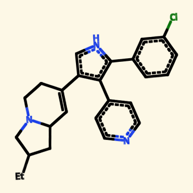 CCC1CC2C=C(c3c[nH]c(-c4cccc(Cl)c4)c3-c3ccncc3)CCN2C1